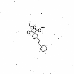 CCOC(=O)C1(C(=O)OCC)CC=C(/C=C/c2ccccc2)C1